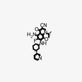 C[C@H]1COc2c(N[C@H]3CCC[C@H](c4cccnc4)C3)c(F)c(N)c3c(=O)c(C#N)cn1c23